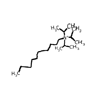 CCCCCCCCCC[N+](C(C)C)(C(C)C)C(C)C